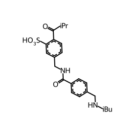 CCC(C)NCc1ccc(C(=O)NCc2ccc(C(=O)C(C)C)c(S(=O)(=O)O)c2)cc1